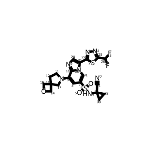 N#CC1(NS(=O)(=O)c2cc(N3CCC4(COC4)C3)c3ncc(-c4nnc(C(F)F)s4)n3c2)CC1